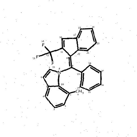 Cc1cccc2ccn(/C(=C3\C(C(F)(F)F)=Cc4ccccc43)c3ccccc3)c12